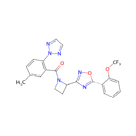 Cc1ccc(-n2nccn2)c(C(=O)N2CCC2c2noc(-c3ccccc3OC(F)(F)F)n2)c1